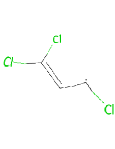 Cl[CH]C=C(Cl)Cl